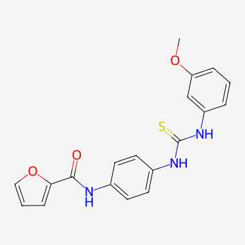 COc1cccc(NC(=S)Nc2ccc(NC(=O)c3ccco3)cc2)c1